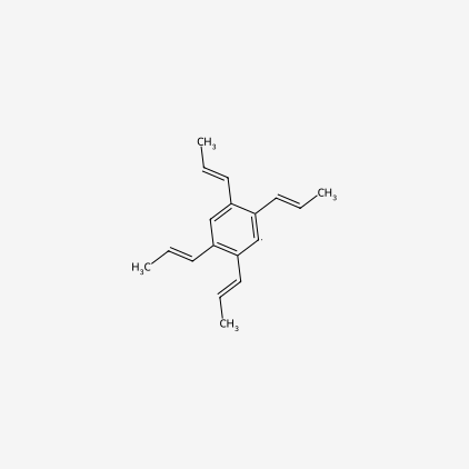 CC=Cc1[c]c(C=CC)c(C=CC)cc1C=CC